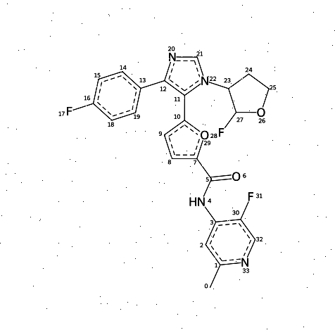 Cc1cc(NC(=O)c2ccc(-c3c(-c4ccc(F)cc4)ncn3C3CCOC3F)o2)c(F)cn1